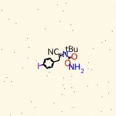 CC(C)(C)N(C(=O)ON)[C@H](C#N)Cc1ccc(I)cc1